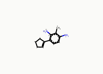 Cc1c(N)ccc(C2=CCCC2)c1N